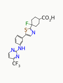 O=C(O)C1CCC(F)(c2ncc(-c3cccc(Nc4nccc(C(F)(F)F)n4)c3)s2)CC1